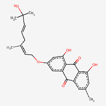 CC(=CCOc1cc(O)c2c(c1)C(=O)c1cc(C)cc(O)c1C2=O)CC=CC(C)(C)O